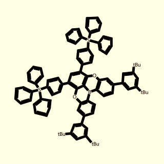 CC(C)(C)c1cc(-c2ccc3c(c2)Oc2c(-c4ccc(S(c5ccccc5)(c5ccccc5)c5ccccc5)cc4)cc(-c4ccc(S(c5ccccc5)(c5ccccc5)c5ccccc5)cc4)c4c2B3c2ccc(-c3cc(C(C)(C)C)cc(C(C)(C)C)c3)cc2O4)cc(C(C)(C)C)c1